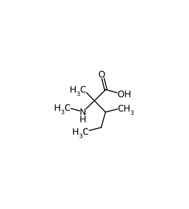 CCC(C)C(C)(NC)C(=O)O